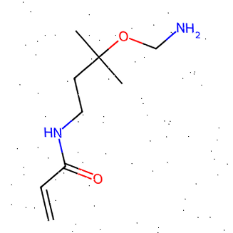 C=CC(=O)NCCC(C)(C)OCN